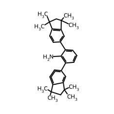 CC1(C)CC(C)(C)C2=CC(c3cccc(-c4ccc5c(c4)C(C)(C)CC5(C)C)c3N)=C=C=C21